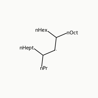 CCCCCCCCC([CH]C(CCC)CCCCCCC)CCCCCC